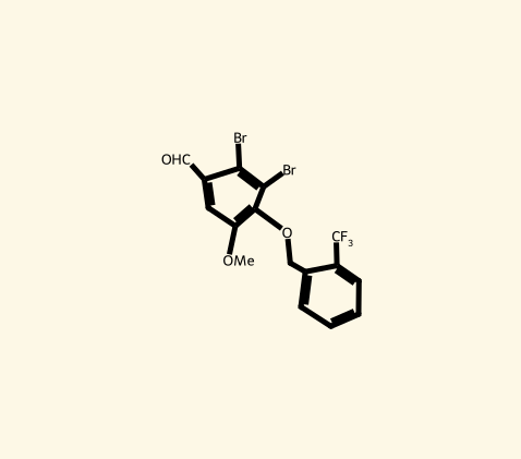 COc1cc(C=O)c(Br)c(Br)c1OCc1ccccc1C(F)(F)F